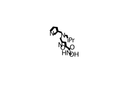 CC(C)CN(Cc1cccnc1)Cc1cc(C(=O)NO)on1